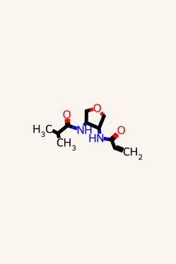 C=CC(=O)NC1COCC1NC(=O)C(C)C